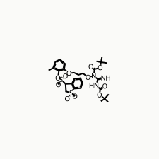 Cc1cccc(OCCCON(C(=N)NC(=O)OC(C)(C)C)C(=O)OC(C)(C)C)c1OS(=O)(=O)C1CS(=O)(=O)c2ccccc21